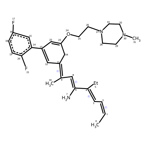 C\C=C/C=C(CC)/C(N)=C/C(C)=C1/C=C(c2cc(F)ccc2F)C=C(OCCN2CCN(C)CC2)C1